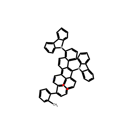 Cc1ccccc1-c1ccccc1/C=C\c1c2ccccc2c(-n2c3ccccc3c3ccccc32)c2c1ccc1c(-n3c4ccccc4c4ccccc43)cccc12